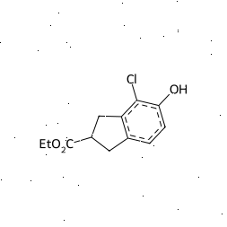 CCOC(=O)C1Cc2ccc(O)c(Cl)c2C1